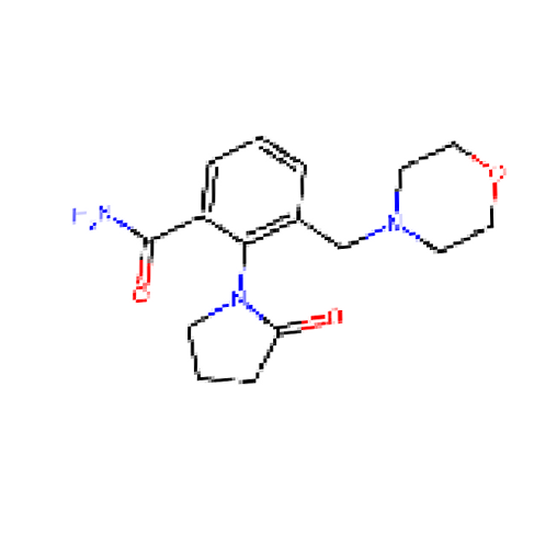 NC(=O)c1cccc(CN2CCOCC2)c1N1CCCC1=O